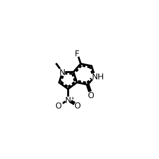 Cn1cc([N+](=O)[O-])c2c(=O)[nH]cc(F)c21